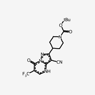 CC(C)(C)OC(=O)N1CCC(c2nn3c(=O)c(C(F)(F)F)c[nH]c3c2C#N)CC1